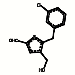 O=Cc1cc(CO)c(Cc2cccc(Cl)c2)s1